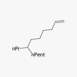 C=CCCCCC(CCC)CCCCC